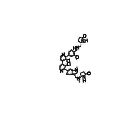 COc1cc(-c2nccc(-c3ccnc(-c4ccc5c(CN(C)[C@H]6CCC(=O)N6)cn(C)c5c4)c3Cl)c2Cl)ccc1CNC[C@@H]1CCC(=O)N1